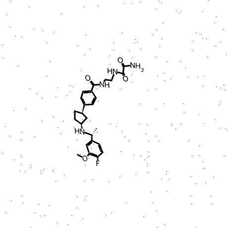 COc1cc([C@@H](C)N[C@H]2CC[C@@H](c3ccc(C(=O)NCCNC(=O)C(N)=O)cc3)C2)ccc1F